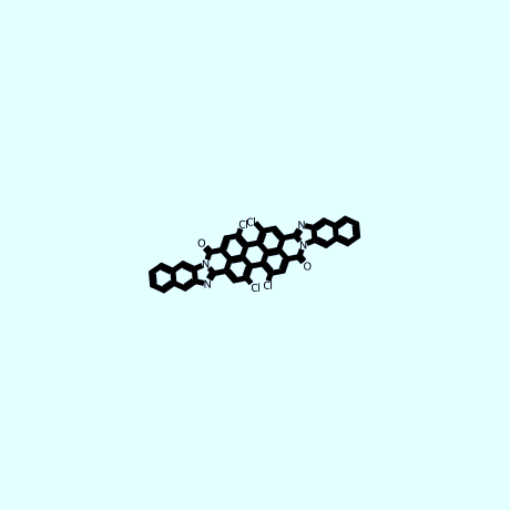 O=c1c2cc(Cl)c3c4c(Cl)cc5c6c(cc(Cl)c(c7c(Cl)cc(c2c37)c2nc3cc7ccccc7cc3n12)c46)c(=O)n1c2cc3ccccc3cc2nc51